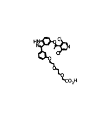 C[C@@H](Oc1ccc2[nH]nc(-c3cccc(OCCOCCOCC(=O)O)c3)c2c1)c1c(Cl)cncc1Cl